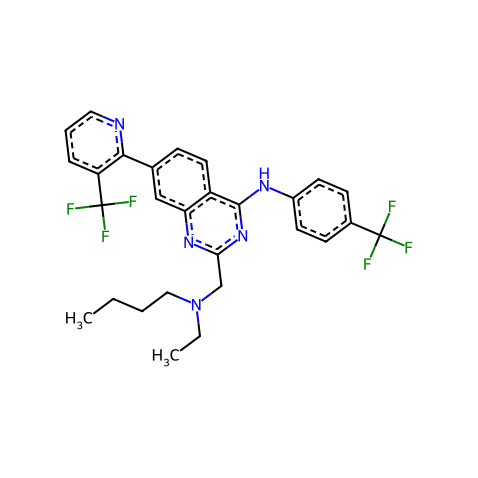 CCCCN(CC)Cc1nc(Nc2ccc(C(F)(F)F)cc2)c2ccc(-c3ncccc3C(F)(F)F)cc2n1